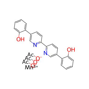 CC(=O)[O-].CC(=O)[O-].CC(=O)[O-].Oc1ccccc1-c1ccc(-c2ccc(-c3ccccc3O)cn2)nc1.[Mn+3]